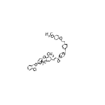 COc1ccc(OCCc2ccc(CN3CCN(C(=O)/C=C/c4cc(C)c(Oc5ccc(OCc6ccccc6Cl)cn5)c(C)c4)CC3)cc2)cc1